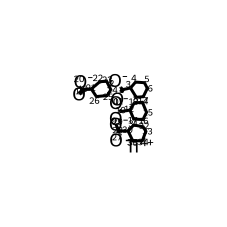 O=C([O-])C1CCCCC1.O=C([O-])C1CCCCC1.O=C([O-])C1CCCCC1.O=C([O-])C1CCCCC1.[Ti+4]